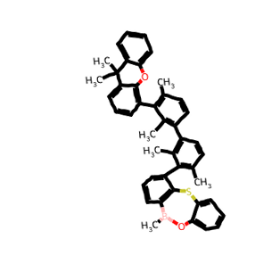 CB1Oc2ccccc2Sc2c1cccc2-c1c(C)ccc(-c2ccc(C)c(-c3cccc4c3Oc3ccccc3C4(C)C)c2C)c1C